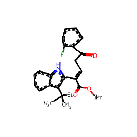 CCC(C)(C)c1c(/C(=C\CC(=O)c2ccccc2F)C(=O)OC(C)C)[nH]c2ccccc12